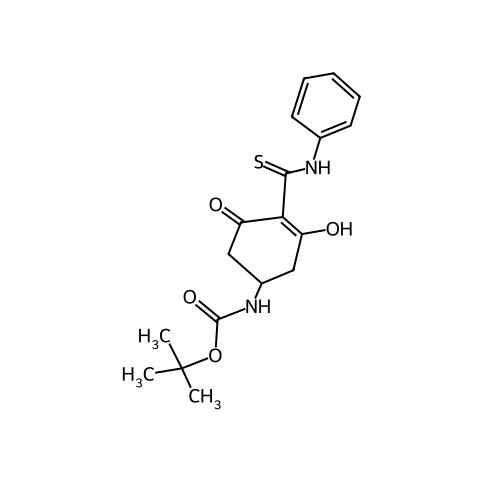 CC(C)(C)OC(=O)NC1CC(=O)C(C(=S)Nc2ccccc2)=C(O)C1